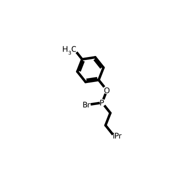 Cc1ccc(OP(Br)CCC(C)C)cc1